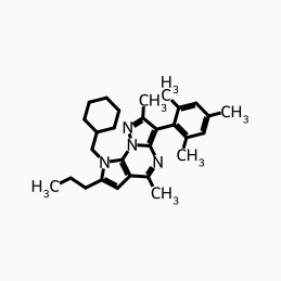 CCCc1cc2c(C)nc3c(-c4c(C)cc(C)cc4C)c(C)nn3c2n1CC1CCCCC1